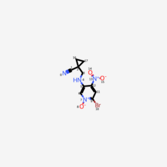 N#CC1(CNc2c[n+]([O-])c(Br)cc2[N+](=O)[O-])CC1